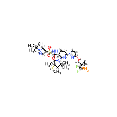 CS[C@@]1(C)CN(c2nc(-n3ccc(OCC4(C(F)(F)P)CC4)n3)ccc2C(=O)NS(=O)(=O)c2cnn(C(C)(C)C)c2)C(C)(C)C1